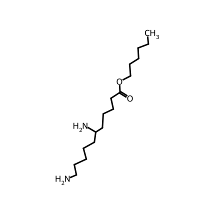 CCCCCCOC(=O)CCCCC(N)CCCCCN